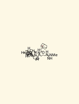 CNC(=N)NCCC[C@H](NC(=O)CC12CC3CC(CC(C3)C1)C2)C(=O)N[C@@H](CC(C)C)B1O[C@@H]2C[C@@H]3C[C@@H](C3(C)C)[C@]2(C)O1